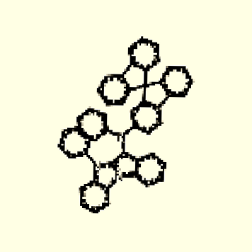 c1ccc(N(c2ccc3c(c2)C2(c4ccccc4-c4ccccc42)c2ccccc2-3)c2c3ccccc3n3c4ccccc4n(-c4ccccc4)c23)cc1